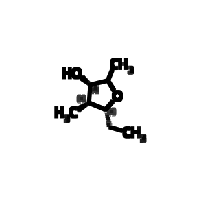 CC[C@H]1OC(C)[C@H](O)[C@@H]1C